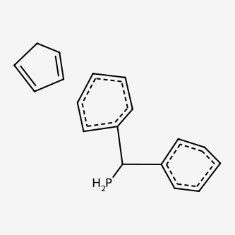 C1=CCC=C1.PC(c1ccccc1)c1ccccc1